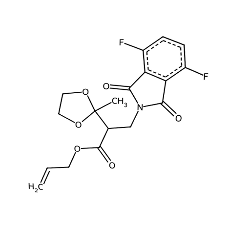 C=CCOC(=O)C(CN1C(=O)c2c(F)ccc(F)c2C1=O)C1(C)OCCO1